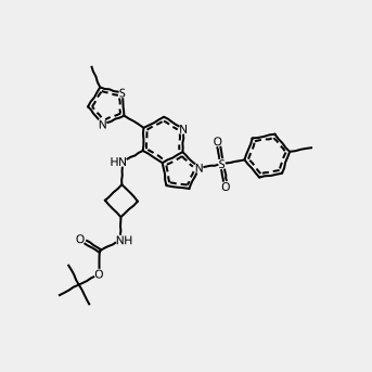 Cc1ccc(S(=O)(=O)n2ccc3c(NC4CC(NC(=O)OC(C)(C)C)C4)c(-c4ncc(C)s4)cnc32)cc1